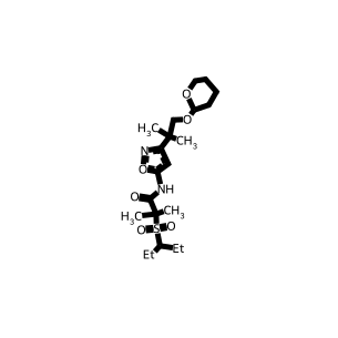 CCC(CC)S(=O)(=O)C(C)(C)C(=O)Nc1cc(C(C)(C)COC2CCCCO2)no1